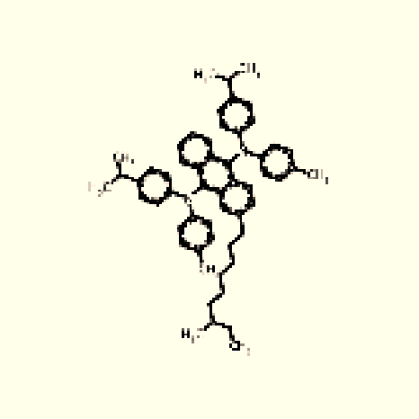 CCC(C)CCCCCCc1ccc2c(N(c3ccc(C)cc3)c3ccc(C(C)C)cc3)c3ccccc3c(N(c3ccc(C)cc3)c3ccc(C(C)C)cc3)c2c1